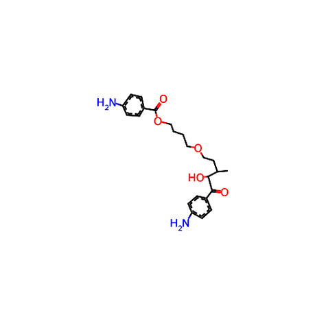 CC(CCOCCCCOC(=O)c1ccc(N)cc1)C(O)C(=O)c1ccc(N)cc1